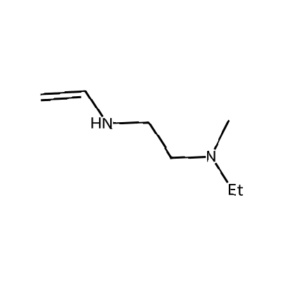 C=CNCCN(C)CC